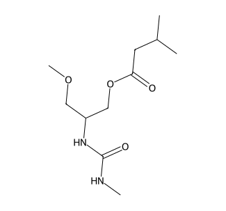 CNC(=O)NC(COC)COC(=O)CC(C)C